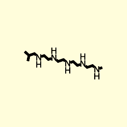 CNCCNCCNCCNCCNCC(C)C